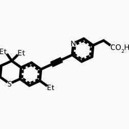 CCc1cc2c(cc1C#Cc1ccc(CC(=O)O)cn1)C(CC)(CC)CCS2